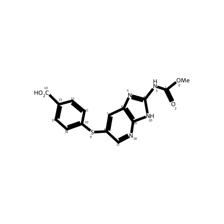 COC(=O)Nc1nc2cc(Sc3ccc(C(=O)O)cc3)cnc2[nH]1